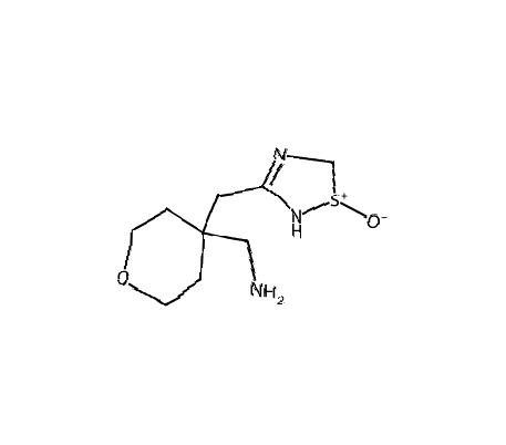 NCC1(CC2=NC[S+]([O-])N2)CCOCC1